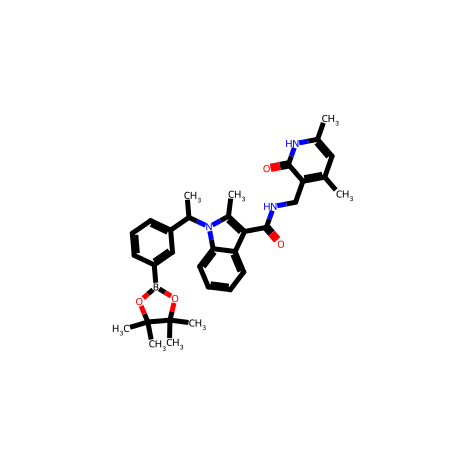 Cc1cc(C)c(CNC(=O)c2c(C)n(C(C)c3cccc(B4OC(C)(C)C(C)(C)O4)c3)c3ccccc23)c(=O)[nH]1